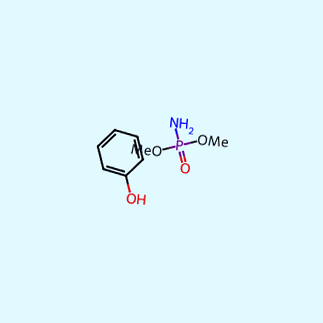 COP(N)(=O)OC.Oc1ccccc1